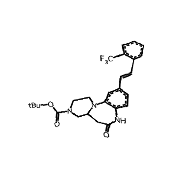 CC(C)(C)OC(=O)N1CCN2c3cc(/C=C/c4ccccc4C(F)(F)F)ccc3NC(=O)CC2C1